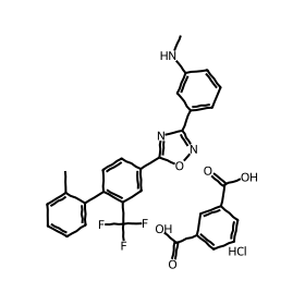 CNc1cccc(-c2noc(-c3ccc(-c4ccccc4C)c(C(F)(F)F)c3)n2)c1.Cl.O=C(O)c1cccc(C(=O)O)c1